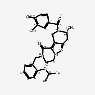 C[C@@H]1Cc2nn3c(c2CN1C(=O)c1ccc(Cl)c(Cl)c1)C(=O)N(Cc1ccccc1OC(F)F)CC3